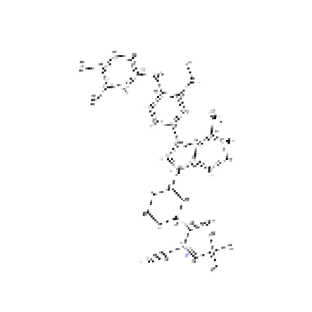 COc1cc(-c2nn(C3CCCN(C(=O)/C(C#N)=C\C(C)(C)C)C3)c3ncnc(N)c23)ccc1Oc1ccc(Cl)c(Cl)c1